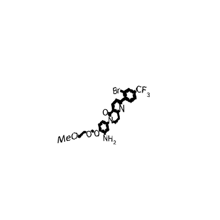 COCCOCOc1ccc(N2CCc3nc(-c4ccc(C(F)(F)F)cc4Br)ccc3C2=O)cc1N